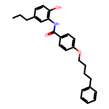 CCCc1ccc(O)c(NC(=O)c2ccc(OCCCCc3ccccc3)cc2)c1